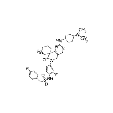 CN(C)C1CCC(Nc2ncc3c(n2)C2(CCCNC2)C(=O)N(c2ccc(NS(=O)(=O)Cc4ccc(F)cc4)c(F)c2)C3)CC1